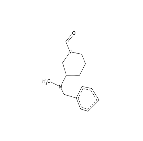 CN(Cc1ccccc1)C1CCCN(C=O)C1